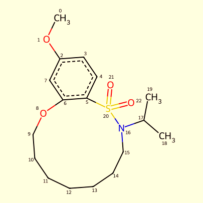 COc1ccc2c(c1)OCCCCCCCN(C(C)C)S2(=O)=O